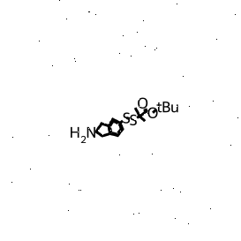 CC(C)(C)OC(=O)C(C)(C)SSc1ccc2c(c1)CC(N)C2